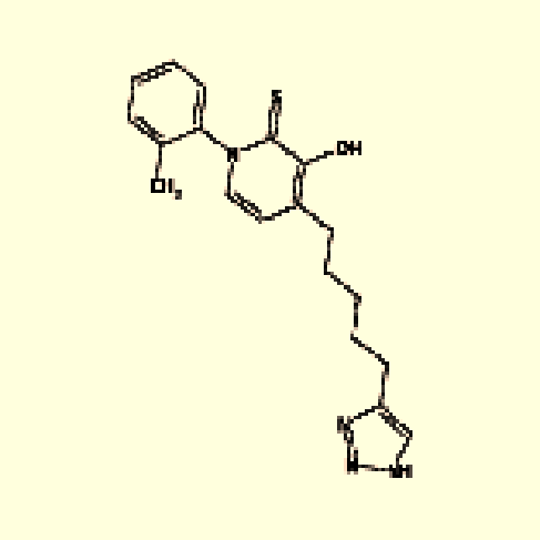 Cc1ccccc1-n1ccc(CCCCCc2c[nH]nn2)c(O)c1=S